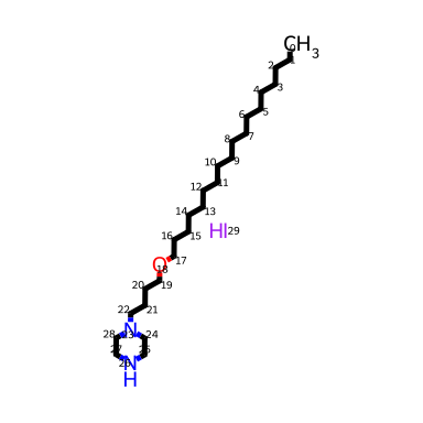 CCCCCCCCCCCCCCCCCCOCCCCN1CCNCC1.I